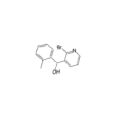 Cc1ccccc1C(O)c1cccnc1Br